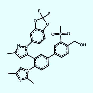 Cc1cn(-c2ccc(-c3ccc(CO)c(S(C)(=O)=O)c3)cc2-c2cc(C)nn2-c2ccc3c(c2)OC(F)(F)O3)c(C)n1